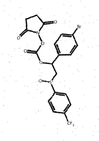 O=C(OC(C[S+]([O-])c1ccc(C(F)(F)F)cc1)c1ccc(Br)cc1)ON1C(=O)CCC1=O